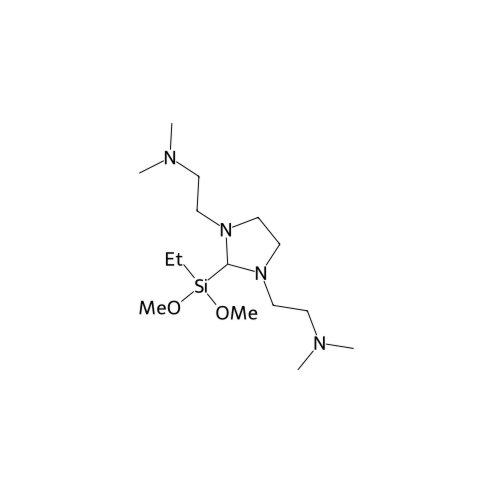 CC[Si](OC)(OC)C1N(CCN(C)C)CCN1CCN(C)C